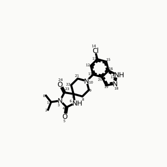 CC(C)N1C(=O)NC2(CCN(c3cc(Cl)cc4[nH]ncc34)CC2)C1=O